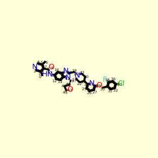 Cc1cncc(C)c1C(=O)Nc1ccc2c(c1)nc(CN1CCC(c3cccc(OCc4ccc(Cl)cc4F)n3)CC1)n2C[C@@H]1CCO1